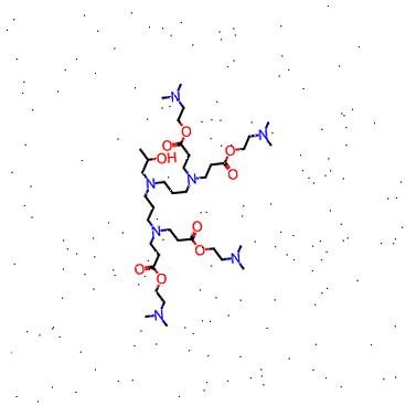 CC(O)CN(CCCN(CCC(=O)OCCN(C)C)CCC(=O)OCCN(C)C)CCCN(CCC(=O)OCCN(C)C)CCC(=O)OCCN(C)C